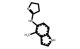 Cc1c(NC2=NCCC2)ccc2[nH]ccc12